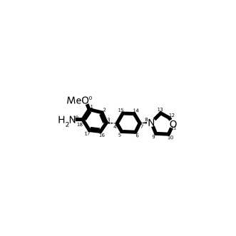 COc1cc([C@H]2CC[C@@H](N3CCOCC3)CC2)ccc1N